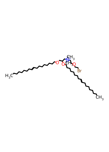 CCCCCCCCC=CCCCCCCCCOCC(C[N+](C)(C)CCOCCBr)OCCCCCCCCC=CCCCCCCCC